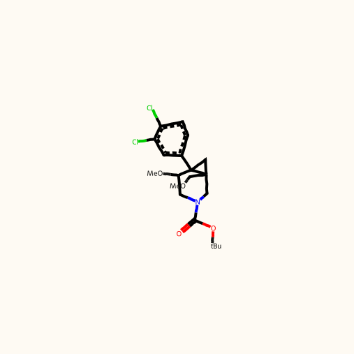 COCC12CN(C(=O)OC(C)(C)C)CC(OC)C1(c1ccc(Cl)c(Cl)c1)C2